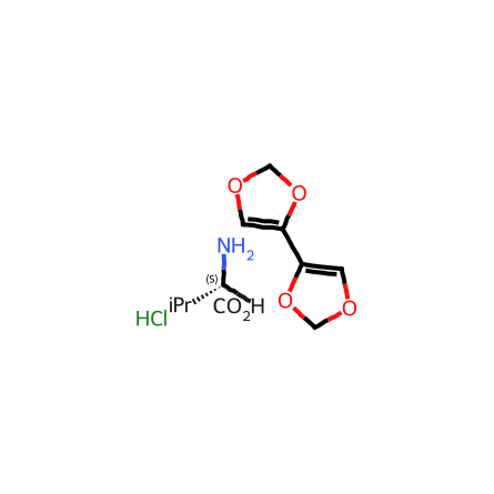 C1=C(C2=COCO2)OCO1.CC(C)[C@H](N)C(=O)O.Cl